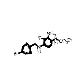 CCOC(=O)Nc1ccc(NCc2ccc(Br)cc2)c(F)c1N